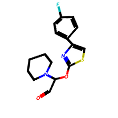 O=CC(Oc1nc(-c2ccc(F)cc2)cs1)N1CCCCC1